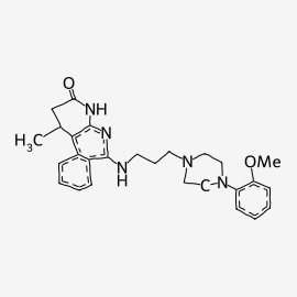 COc1ccccc1N1CCN(CCCNc2nc3c(c4ccccc24)C(C)CC(=O)N3)CC1